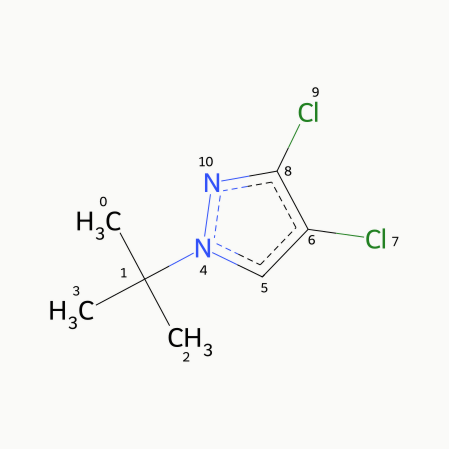 CC(C)(C)n1cc(Cl)c(Cl)n1